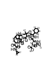 COC(=O)NC[C@H](NC(=O)OC)C(=O)N[C@H](C(=O)N[C@H](C(=O)N1C[C@@H]2CC3CC[C@@H](C(=O)C(=O)NC4CC4)NC(=O)[C@@H]1[C@H]2C3)C(C)(C)C)C1CCCCC1